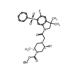 CC[C@H]1CN(C(=O)OC(C)(C)C)[C@H](C)CN1CC(=O)N1CC(C)(C)c2cc(F)c(S(=O)(=O)c3ccccc3)cc21